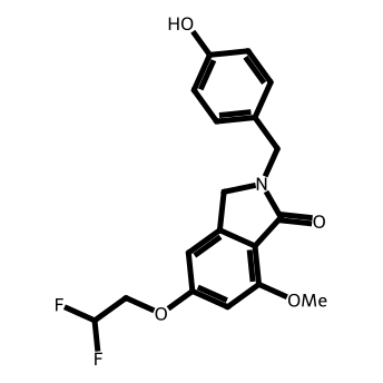 COc1cc(OCC(F)F)cc2c1C(=O)N(Cc1ccc(O)cc1)C2